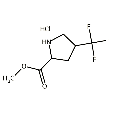 COC(=O)C1CC(C(F)(F)F)CN1.Cl